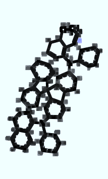 C/C=C\C1=C(N(c2ccccc2)c2ccc3c(c2)C2(c4ccccc4-c4ccccc42)c2cc(N(c4ccccc4)c4cccc5ccccc45)ccc2-3)C=CCC1C